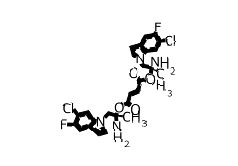 C[C@@](N)(Cn1ccc2cc(F)c(Cl)cc21)OC(=O)/C=C/C(=O)O[C@](C)(N)Cn1ccc2cc(F)c(Cl)cc21